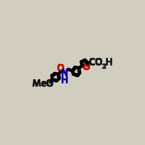 COc1ccc(C(=O)NCc2cccc(-c3ccc(C(=O)O)o3)c2)cc1